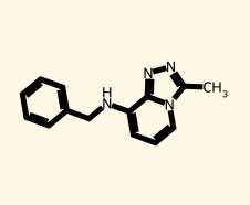 Cc1nnc2c(NCc3ccccc3)cccn12